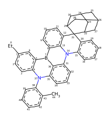 CCc1ccc2c(c1)B1c3cccc4c3N(c3ccccc3C43C4CC5CC(C4)CC3C5)c3cccc(c31)N2c1ccccc1C